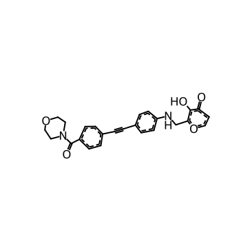 O=C(c1ccc(C#Cc2ccc(NCc3occc(=O)c3O)cc2)cc1)N1CCOCC1